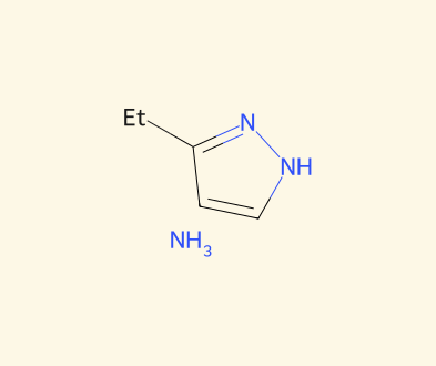 CCc1cc[nH]n1.N